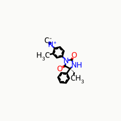 [C-]#[N+]c1ccc(N2C(=O)N[C@@](CC)(c3ccccc3)C2=O)cc1C